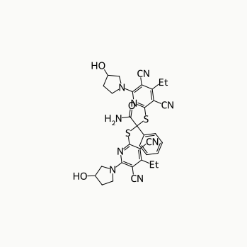 CCc1c(C#N)c(SC(Sc2nc(N3CCC(O)C3)c(C#N)c(CC)c2C#N)(C(N)=O)c2ccccc2)nc(N2CCC(O)C2)c1C#N